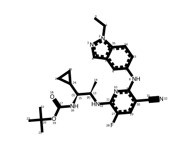 CCn1ncc2cc(Nc3nc(N[C@H](C)[C@@H](NC(=O)OC(C)(C)C)C4CC4)c(F)cc3C#N)ccc21